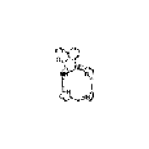 CCCc1cccc(CCC)c1C(=O)c1cc2cc3nc(cc4ccc(cc5nc(cc1[nH]2)C=C5)[nH]4)C=C3